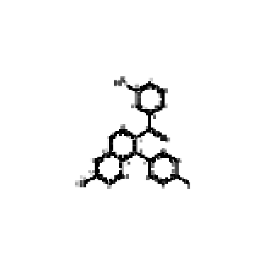 Cc1ccc(-c2c(C(=O)c3cccc(O)c3)ccc3cc(O)ccc23)cc1